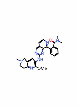 COc1nc2c(cc1Nc1ncc3ccnc(-c4ccccc4C(=O)N(C)C)c3n1)CN(C)CC2